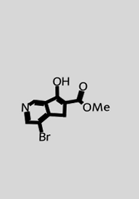 COC(=O)C1=C(O)c2cncc(Br)c2C1